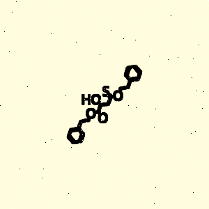 O=C(OCCc1ccccc1)C(O)CC(=S)OCCc1ccccc1